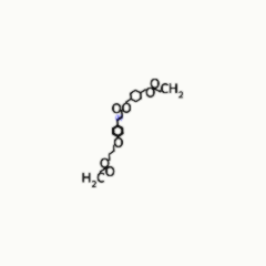 C=CC(=O)OCCCCOc1ccc(/C=C/C(=O)OCC2CCC(COC(=O)C=C)CC2)cc1